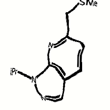 CSCc1ccc2cnn(C(C)C)c2n1